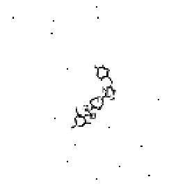 Cc1ccc(Cc2csc(N3CCC(S(=O)(=O)c4c(C)cc(C)cc4C)CC3)n2)cc1